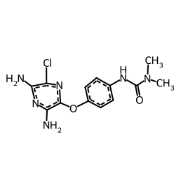 CN(C)C(=O)Nc1ccc(Oc2nc(Cl)c(N)nc2N)cc1